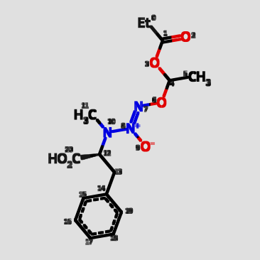 CCC(=O)OC(C)O/N=[N+](\[O-])N(C)[C@@H](Cc1ccccc1)C(=O)O